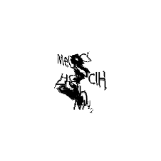 COc1ccc(Cl)cc1N1CCN(CC(O)CNc2nccc(C(N)=O)n2)CC1.Cl